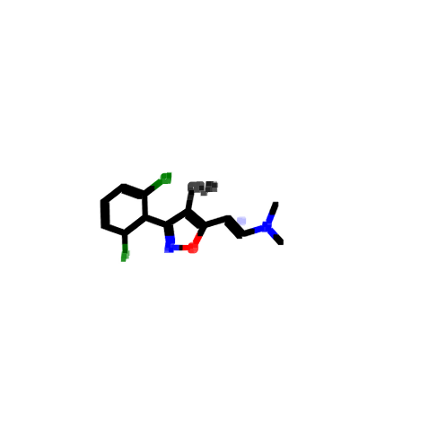 CCOC(=O)c1c(C2C(Cl)=CC=CC2F)noc1/C=C/N(C)C